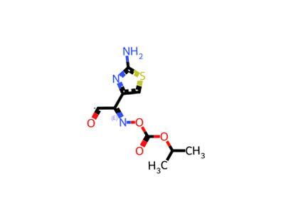 CC(C)OC(=O)O/N=C(/[C]=O)c1csc(N)n1